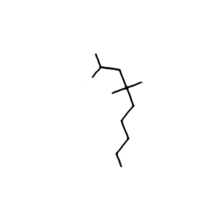 CCCCCC(F)(F)CC(C)C